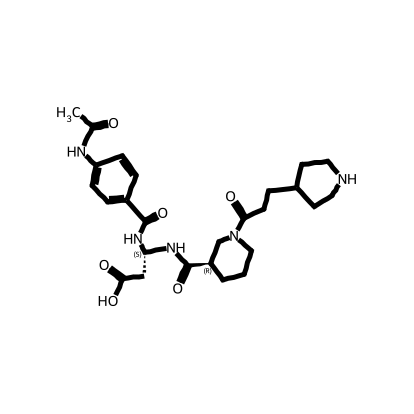 CC(=O)Nc1ccc(C(=O)N[C@@H](CC(=O)O)NC(=O)[C@@H]2CCCN(C(=O)CCC3CCNCC3)C2)cc1